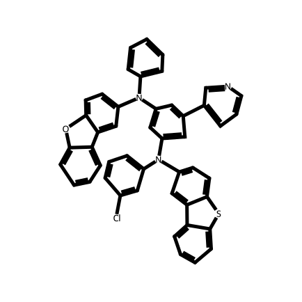 Clc1cccc(N(c2cc(-c3cccnc3)cc(N(c3ccccc3)c3ccc4oc5ccccc5c4c3)c2)c2ccc3sc4ccccc4c3c2)c1